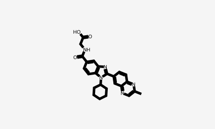 Cc1cnc2cc(-c3nc4cc(C(=O)NCC(=O)O)ccc4n3C3CCCCC3)ccc2n1